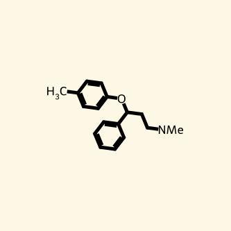 CNCCC(Oc1ccc(C)cc1)c1ccccc1